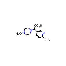 Cc1ccc(C(C(=O)O)N2CCN(C)CC2)cn1